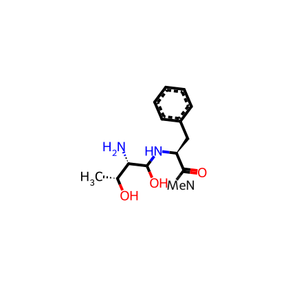 CNC(=O)[C@H](Cc1ccccc1)NC(O)[C@@H](N)[C@@H](C)O